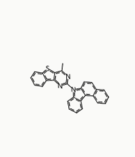 Cc1nc(-n2c3ccccc3c3c4ccccc4ccc32)nc2c1sc1ccccc12